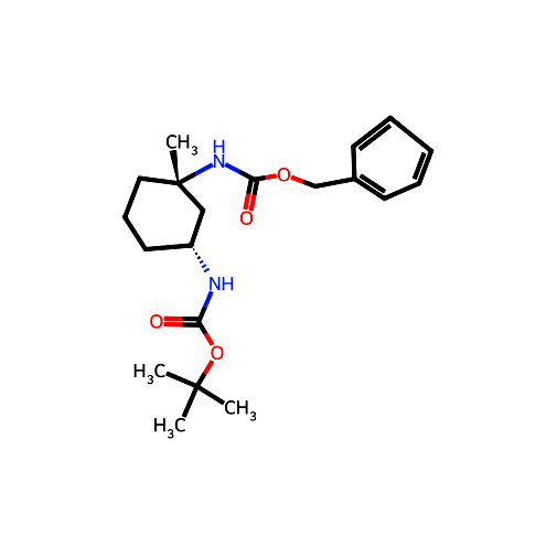 CC(C)(C)OC(=O)N[C@@H]1CCC[C@](C)(NC(=O)OCc2ccccc2)C1